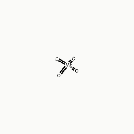 [O]=[Mg](=[O])(=[O])=[O]